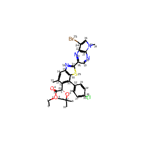 CCOC(=O)[C@@H](OC(C)(C)C)c1c(C)cc2nc(-c3cnc4c(n3)c(Br)cn4C)sc2c1-c1ccc(Cl)cc1